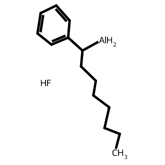 CCCCCCC[CH]([AlH2])c1ccccc1.F